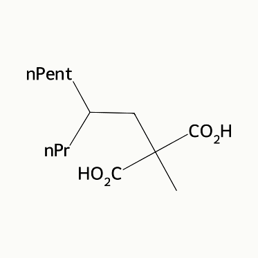 CCCCCC(CCC)CC(C)(C(=O)O)C(=O)O